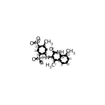 Cc1cc(Nc2c(C)c3cccc(C)c3[nH]c2=O)c([N+](=O)[O-])cc1[N+](=O)[O-]